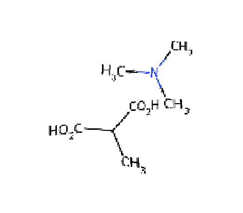 CC(C(=O)O)C(=O)O.CN(C)C